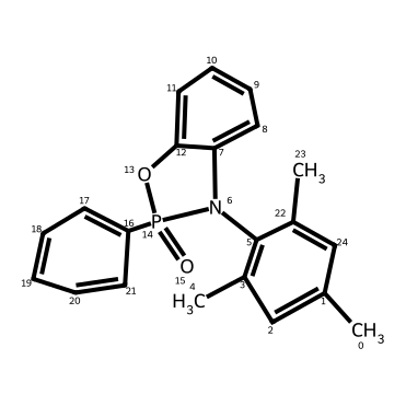 Cc1cc(C)c(N2c3ccccc3OP2(=O)c2ccccc2)c(C)c1